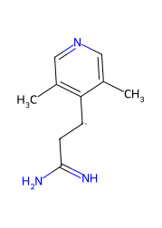 Cc1cncc(C)c1[CH]CC(=N)N